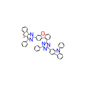 c1ccc(-c2nc(-c3ccc4c5ccccc5n(-c5ccccc5)c4c3)nc(-c3cccc4oc5cc(-c6nc(-c7ccccc7)c7sc8ccccc8c7n6)ccc5c34)n2)cc1